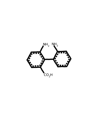 Nc1ccccc1-c1c(N)cccc1C(=O)O